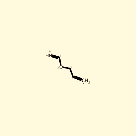 C=CCOC=N